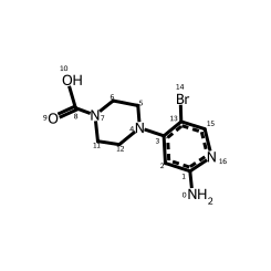 Nc1cc(N2CCN(C(=O)O)CC2)c(Br)cn1